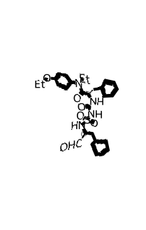 CCOc1ccc(N(CC)C(=O)[C@H](Cc2ccccc2)NC(=O)NS(=O)(=O)N[C@H](C=O)Cc2ccccc2)cc1